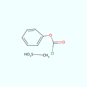 CS(=O)(=O)O.O=C(Cl)Oc1ccccc1